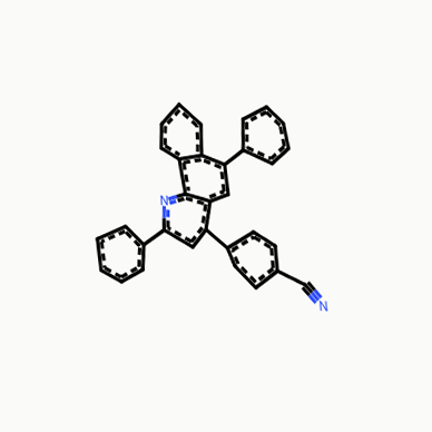 N#Cc1ccc(-c2cc(-c3ccccc3)nc3c2cc(-c2ccccc2)c2ccccc23)cc1